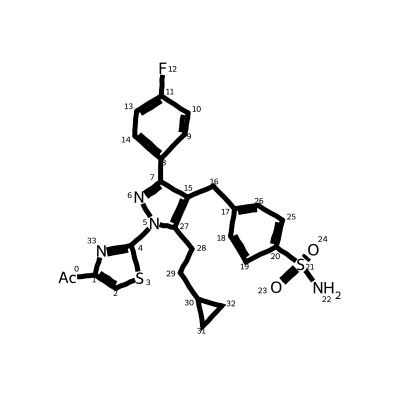 CC(=O)c1csc(-n2nc(-c3ccc(F)cc3)c(Cc3ccc(S(N)(=O)=O)cc3)c2CCC2CC2)n1